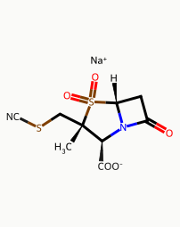 C[C@]1(CSC#N)[C@H](C(=O)[O-])N2C(=O)C[C@H]2S1(=O)=O.[Na+]